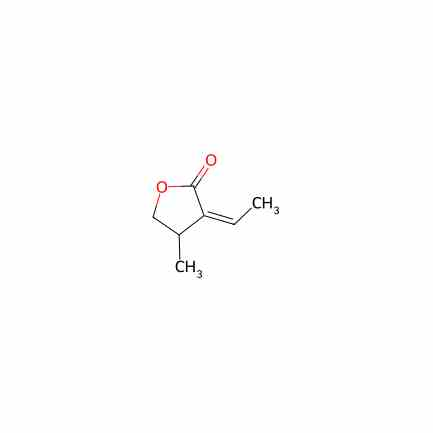 CC=C1C(=O)OCC1C